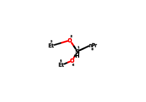 CCC[SiH](OCC)OCC